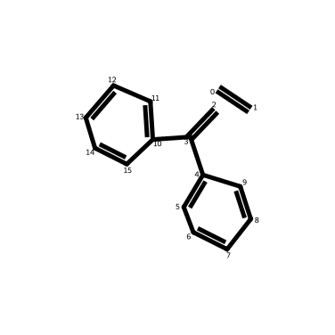 C=C.C=C(c1ccccc1)c1ccccc1